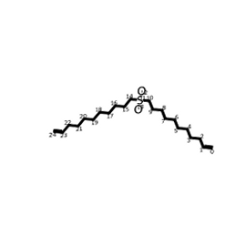 C=CCCCCCCCCCS(=O)(=O)CCCCCCCCCC=C